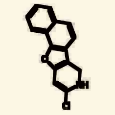 ClC1=Cc2oc3c(ccc4ccccc43)c2CN1